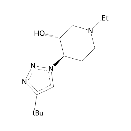 CCN1CC[C@@H](n2cc(C(C)(C)C)nn2)[C@H](O)C1